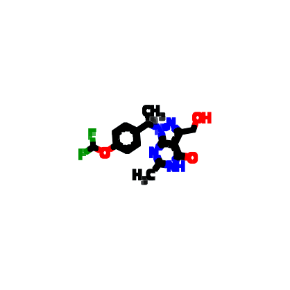 Cc1nc2c(c(CO)nn2[C@@H](C)c2ccc(OC(F)F)cc2)c(=O)[nH]1